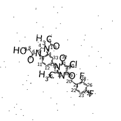 CC(=O)N1CN(C(=O)CO)c2ccc(-n3c(C)nc(OCc4ccc(F)cc4F)c(Cl)c3=O)cc21